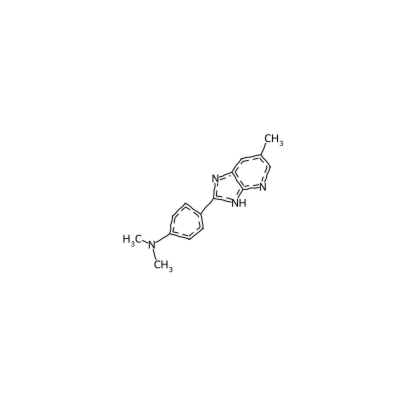 Cc1cnc2[nH]c(-c3ccc(N(C)C)cc3)nc2c1